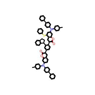 Cc1ccc(N(c2ccc(-c3ccccc3)cc2)c2ccc3cc(-c4ccc(-c5cc6c(Sc7ccccc7)cc(N(c7ccc(C)cc7)c7ccc(-c8ccccc8)cc7)cc6oc5=O)c(C5CCc6ccccc65)c4)c(=O)oc3c2)cc1